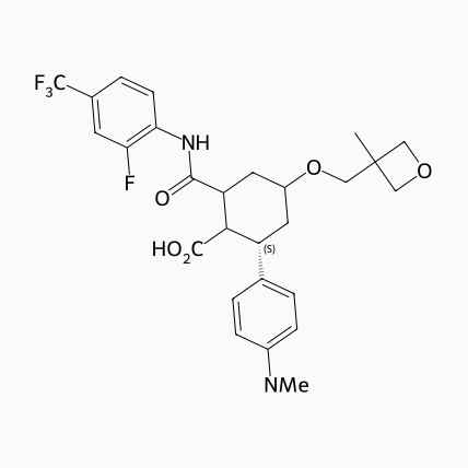 CNc1ccc([C@H]2CC(OCC3(C)COC3)CC(C(=O)Nc3ccc(C(F)(F)F)cc3F)C2C(=O)O)cc1